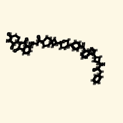 O=C1CC[C@H](N2C(=O)c3cccc(NCC(=O)N4CCC5(CC4)CC(N4CCC(c6ccc(Nc7ncnc8c7ncn8C7CC(NC(=O)Cc8ccccc8)C7)cc6)CC4)C5)c3C2=O)C(=O)N1